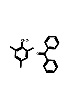 Cc1cc(C)c([C]=O)c(C)c1.O=C(c1ccccc1)c1ccccc1